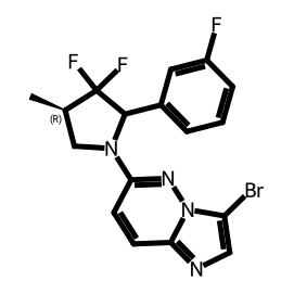 C[C@@H]1CN(c2ccc3ncc(Br)n3n2)C(c2cccc(F)c2)C1(F)F